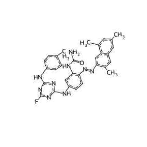 Cc1ccc(Nc2nc(F)nc(Nc3ccc(N=Nc4cc5c(C)cc(C)cc5cc4C)c(NC(N)=O)c3)n2)cc1